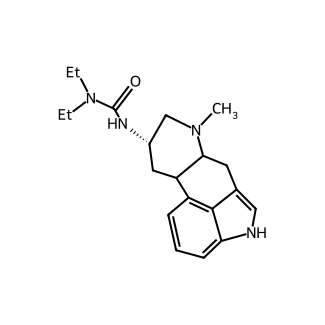 CCN(CC)C(=O)N[C@H]1CC2c3cccc4[nH]cc(c34)CC2N(C)C1